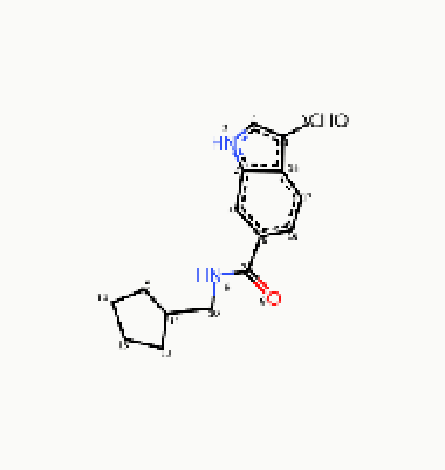 O=Cc1c[nH]c2cc(C(=O)NCC3CCCC3)ccc12